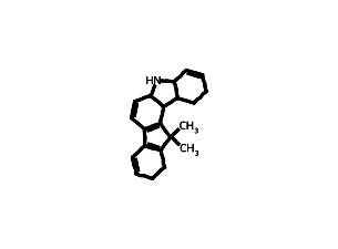 CC1(C)C2=C(C=CCC2)C2=C1C1C(C=C2)NC2C=CCCC21